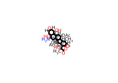 CC(=O)O[C@H]1[C@@H]2[C@H]([C@H](C)[C@H]3O[C@]34OC(=O)[C@@](C)(O)[C@]24C)[C@@]2(C)[C@@H](OC(C)=O)CC3C([C@@H](OC(C)=O)[C@H](N)[C@@]4(O)C[C@@H]5O[C@@H]5[C@H](O)[C@]34C)[C@H]12